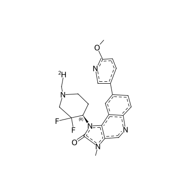 [2H]CN1CC[C@@H](n2c(=O)n(C)c3cnc4ccc(-c5ccc(OC)nc5)cc4c32)C(F)(F)C1